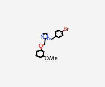 COc1cccc(OCc2nccn2Cc2ccc(Br)cc2)c1